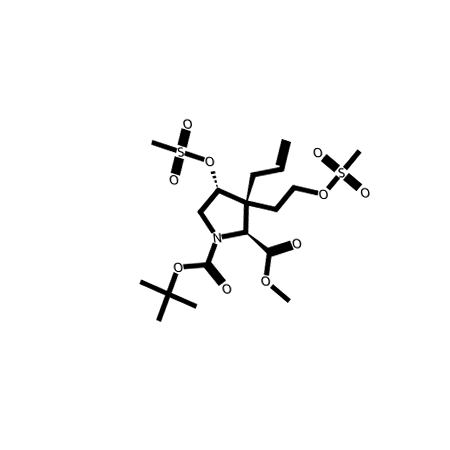 C=CC[C@]1(CCOS(C)(=O)=O)[C@@H](OS(C)(=O)=O)CN(C(=O)OC(C)(C)C)[C@@H]1C(=O)OC